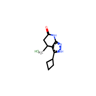 CC1CC(=O)Nc2n[nH]c(C3CCC3)c21.Cl